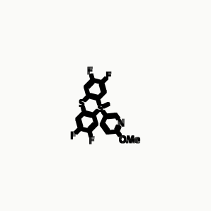 COc1ccc(S2(C)c3cc(F)c(F)cc3Sc3cc(F)c(F)cc32)cn1